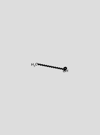 CCCCCCCCCCCCCCCCCCCCCCCCCc1ccccc1O